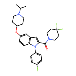 CC(C)N1CCC(Oc2ccc3c(c2)cc(C(=O)N2CCC(F)(F)CC2)n3-c2ccc(F)cc2)CC1